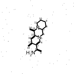 C=C(N)C1=CN2CC3CCCCN3C(=C)C2=CC1=C